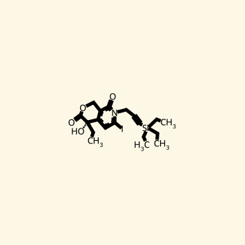 CC[C@@]1(O)C(=O)OCc2c1cc(I)n(CC#C[Si](CC)(CC)CC)c2=O